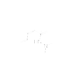 C=C/C=C\C(=C)NN(C)C